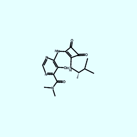 CC(C)[C@H](C)Nc1c(Nc2ncnc(C(=O)N(C)C)c2O)c(=O)c1=O